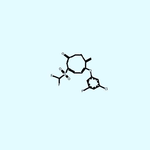 C=C1CCC(=O)C/C(S(=O)(=O)C(F)F)=C\C=C/1Oc1cc(F)cc(Cl)c1